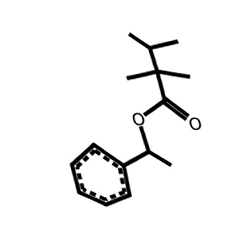 CC(OC(=O)C(C)(C)C(C)C)c1ccccc1